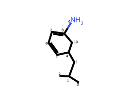 CC(C)CC1C=CC=C(N)C1